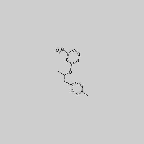 Cc1ccc(CC(C)Oc2cccc([N+](=O)[O-])c2)cc1